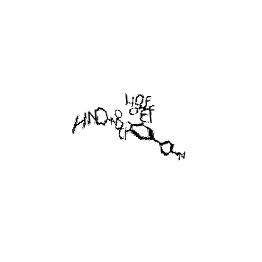 N#Cc1ccc(-c2cc(Cl)c(C[C@@H]3CCN(C4CCNCC4)C3=O)c(Cl)c2)cc1.O=C(O)C(F)(F)F